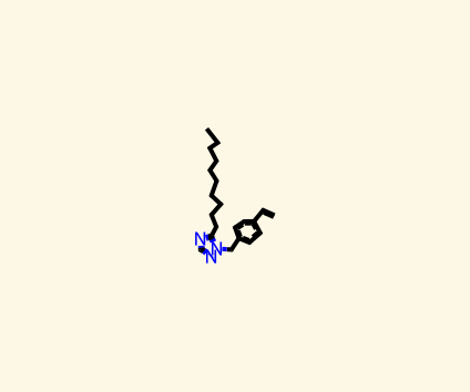 C=Cc1ccc(Cn2ncnc2CCCCCCCCCC)cc1